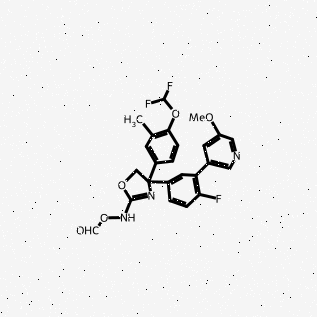 COc1cncc(-c2cc(C3(c4ccc(OC(F)F)c(C)c4)COC(NOC=O)=N3)ccc2F)c1